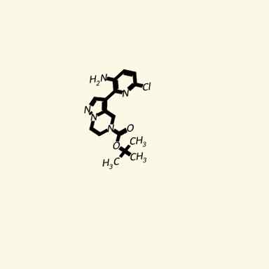 CC(C)(C)OC(=O)N1CCn2ncc(-c3nc(Cl)ccc3N)c2C1